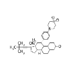 CC(C)(C)C#C[C@]1(O)CCC2[C@@H]3CCC4=CC(=O)CCC4=C3[C@@H](c3ccc(N4CCS(=O)(=O)CC4)cc3)C[C@@]21C